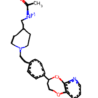 CC(=O)NCC1CCN(Cc2ccc(C3COc4cccnc4O3)cc2)CC1